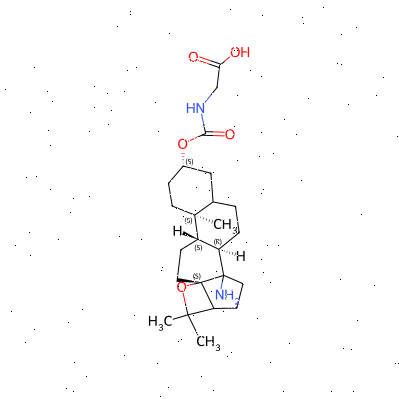 CC1(C)O[C@]23CC[C@H]4[C@@H](CCC5C[C@@H](OC(=O)NCC(=O)O)CC[C@@]54C)C2(N)CCC13